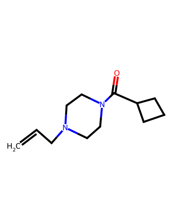 C=CCN1CCN(C(=O)C2CCC2)CC1